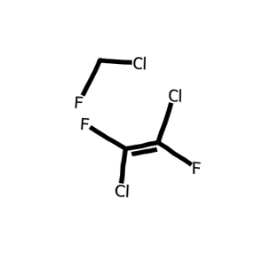 FC(Cl)=C(F)Cl.FCCl